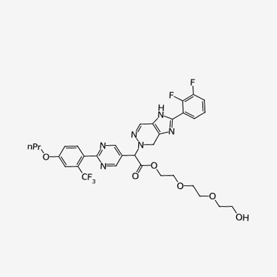 CCCOc1ccc(-c2ncc(C(C(=O)OCCOCCOCCO)N3Cc4nc(-c5cccc(F)c5F)[nH]c4C=N3)cn2)c(C(F)(F)F)c1